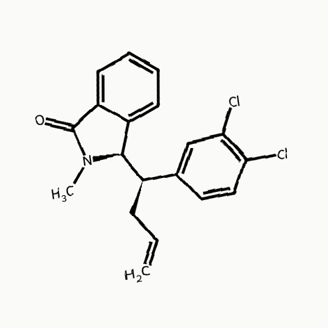 C=CC[C@H](c1ccc(Cl)c(Cl)c1)[C@@H]1c2ccccc2C(=O)N1C